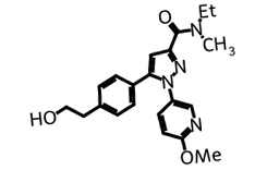 CCN(C)C(=O)c1cc(-c2ccc(CCO)cc2)n(-c2ccc(OC)nc2)n1